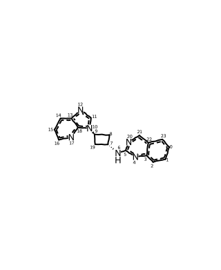 c1ccc2nc(N[C@H]3C[C@H](n4cnc5cccnc54)C3)ncc2c1